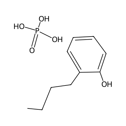 CCCCc1ccccc1O.O=P(O)(O)O